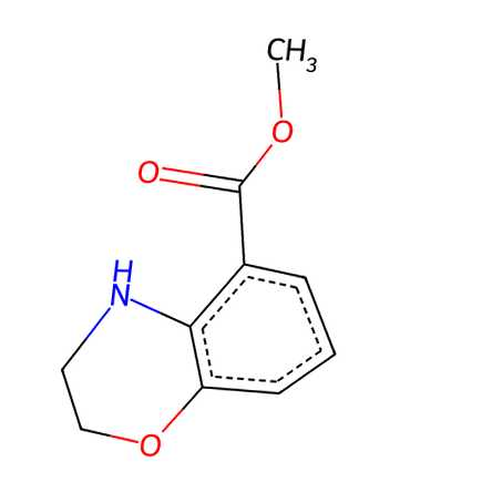 COC(=O)c1cccc2c1NCCO2